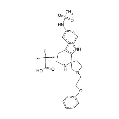 CS(=O)(=O)Nc1ccc2[nH]c3c(c2c1)CCNC31CCN(CCOc2ccccc2)C1.O=C(O)C(F)(F)F